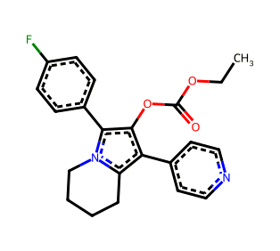 CCOC(=O)Oc1c(-c2ccncc2)c2n(c1-c1ccc(F)cc1)CCCC2